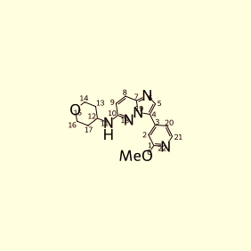 COc1cc(-c2cnc3ccc(NC4CCOCC4)nn23)ccn1